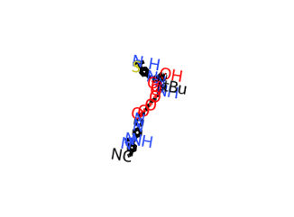 Cc1ncsc1-c1ccc(CNC(=O)[C@@H]2C[C@@H](O)CN2C(=O)[C@@H](NC(=O)COCCOCCOCC(=O)N2CCN([C@H]3CC[C@H](Nc4ncnc5cc(CC#N)ccc45)CC3)CC2)C(C)(C)C)cc1